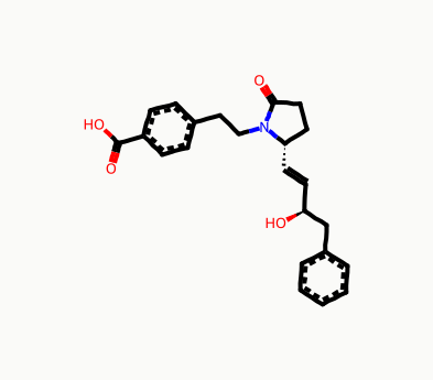 O=C(O)c1ccc(CCN2C(=O)CC[C@@H]2C=C[C@H](O)Cc2ccccc2)cc1